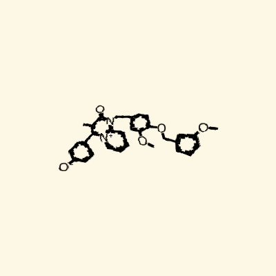 COc1cccc(COc2ccc(Cn3c(=O)c(C)c(-c4ccc([O-])cc4)[n+]4ccccc34)cc2OC)c1